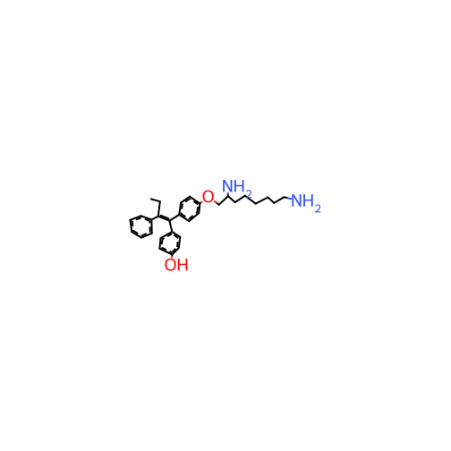 CCC(=C(c1ccc(O)cc1)c1ccc(OCC(N)CCCCCCN)cc1)c1ccccc1